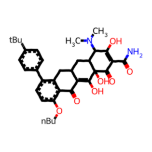 CCCCOc1ccc(-c2ccc(C(C)(C)C)cc2)c2c1C(=O)C1=C(O)C3(O)C(=O)C(C(N)=O)=C(O)C(N(C)C)C3CC1C2